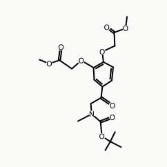 COC(=O)COc1ccc(C(=O)CN(C)C(=O)OC(C)(C)C)cc1OCC(=O)OC